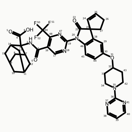 O=C(NC1(C(=O)O)C2CC3CC(C2)CC1C3)c1cnc(N2C(=O)C3(C=CCC3)c3cc(OC4CCN(c5ncccn5)CC4)ccc32)nc1C(F)(F)F